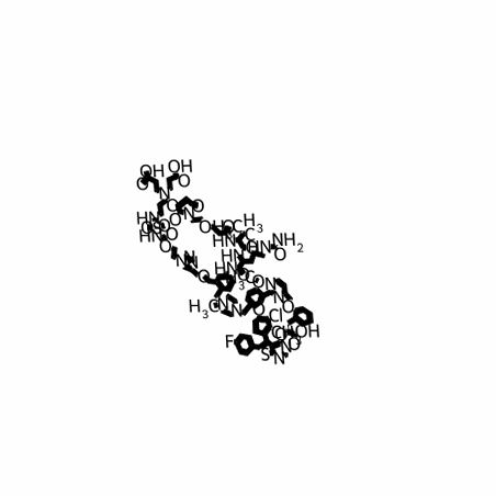 COc1ccccc1-c1nccc(COc2ccccc2C[C@@H](Oc2ncnc3sc(-c4ccc(F)cc4)c(-c4ccc(OCCN5CC[N+](C)(Cc6ccc(NC(=O)C(CCCNC(N)=O)NC(=O)C(NC(=O)CCOCCN7C(=O)C=CC7=O)C(C)C)cc6COCc6cn(CCOC(=O)NS(=O)(=O)NCCC(=O)N(CCC(=O)O)CCC(=O)O)nn6)CC5)c(Cl)c4C)c23)C(=O)O)n1